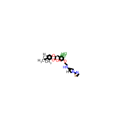 CC(C)(C)c1ccc(O[C@@H](Cc2ccc(OCCN[C@H]3C4CN(c5nccs5)C[C@@H]43)cc2)C(=O)O)cc1.Cl.Cl.Cl